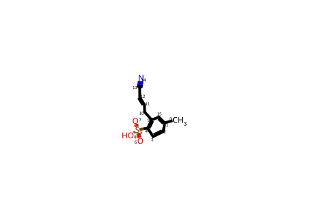 Cc1ccc(S(=O)(=O)O)c(CC=CC#N)c1